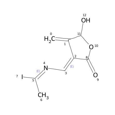 C=C1/C(=C\N=C(/C)I)C(=O)OC1O